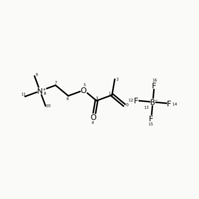 C=C(C)C(=O)OCC[N+](C)(C)C.F[B-](F)(F)F